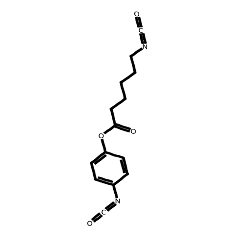 O=C=NCCCCCC(=O)Oc1ccc(N=C=O)cc1